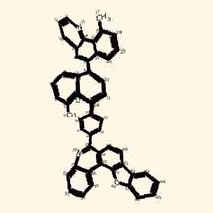 Cc1cccc2c(-c3cc4cccnc4c4c(C)cccc34)ccc(-c3ccc(-c4nc5ccccc5c5c4ccc4c6ccccc6oc45)cc3)c12